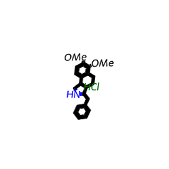 COc1ccc2c(c1OC)CCC1C(Cc3ccccc3)NCC21.Cl